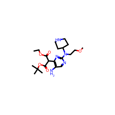 CCOC(=O)C(C(=O)OC(C)(C)C)c1nc(N(CCOC)C2CCNCC2)ncc1N